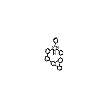 c1ccc(C2=NC(c3cccc(-c4cccc(-c5ccc6c7ccccc7c7ccccc7c6c5)c4)c3)NC(c3ccccc3)=N2)cc#1